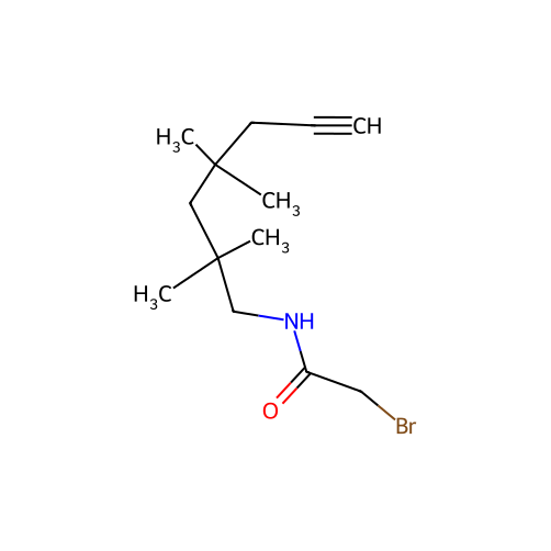 C#CCC(C)(C)CC(C)(C)CNC(=O)CBr